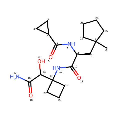 CC1(C[C@H](NC(=O)C2CC2)C(=O)NC2(C(O)C(N)=O)CCC2)CCCC1